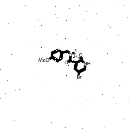 COc1ccc(CN(C)C(=O)c2cc(Br)c[nH]c2=O)cc1